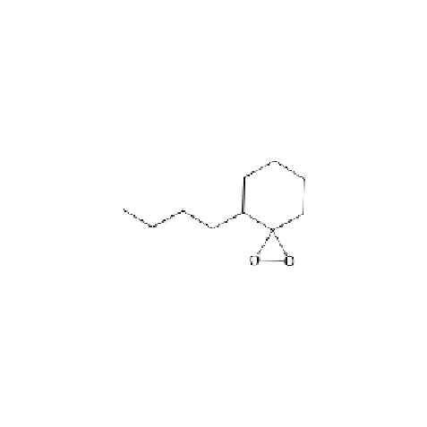 CCCCC1CCCCC12OO2